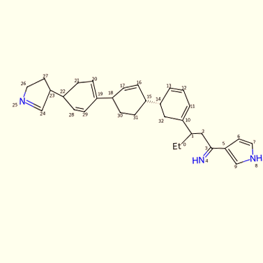 CCC(CC(=N)c1cc[nH]c1)C1=CC=C[C@@H](C2C=CC(C3=CCC(C4C=NCC4)C=C3)CC2)C1